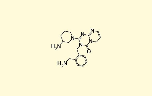 NCc1ccccc1CN1C(=O)N2CC=CN=C2N=C1N1CCCC(N)C1